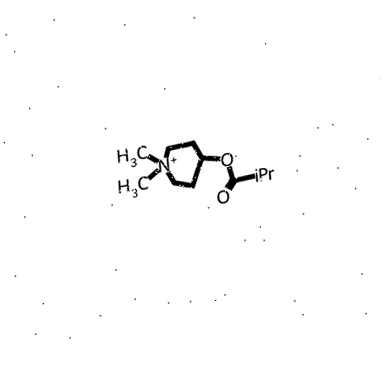 CC(C)C(=O)OC1CC[N+](C)(C)CC1